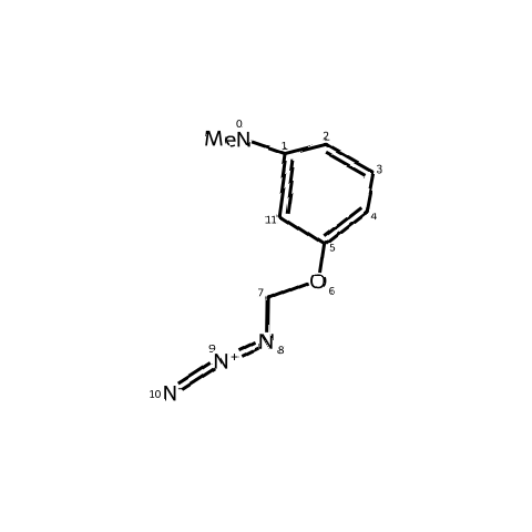 CNc1cccc(OCN=[N+]=[N-])c1